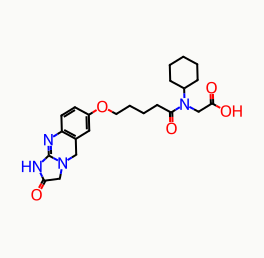 O=C(O)CN(C(=O)CCCCOc1ccc2c(c1)CN1CC(=O)NC1=N2)C1CCCCC1